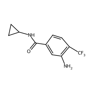 Nc1cc(C(=O)NC2CC2)ccc1C(F)(F)F